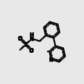 CS(=O)(=O)NCc1ccccc1-c1[c]nccc1